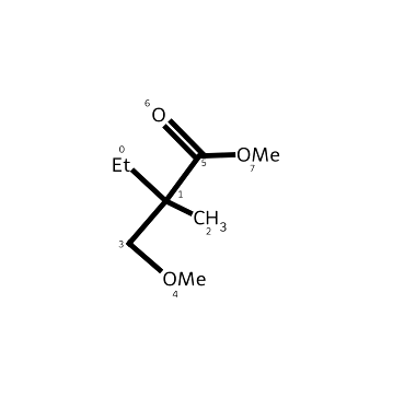 CCC(C)(COC)C(=O)OC